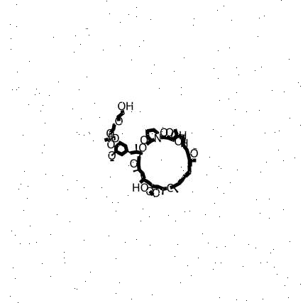 CO[C@H]1C[C@@H]2CCC(C)C(O)(O2)C(=O)C(=O)N2CCCCC2C(=O)O[C@H]([C@H](C)C[C@@H]2CC[C@@H](OP(C)(=O)OCCOCCO)[C@H](OC)C2)CC(=O)[C@H](C)/C=C(\C)[C@@H](O)[C@@H](OC)C(=O)[C@H](C)C[C@H](C)/C=C/C=C/C=C/1C